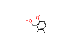 COc1ccc(C)c(C)c1CO